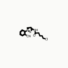 N#Cc1ccccc1-n1ccc(NC(=O)CCCCCl)n1